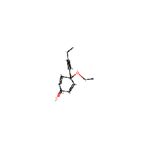 CCC#CC1(OCC)C=CC(=O)C=C1